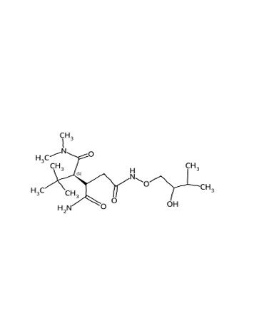 CC(C)C(O)CONC(=O)CC(C(N)=O)[C@H](C(=O)N(C)C)C(C)(C)C